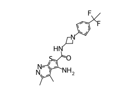 Cc1nnc2sc(C(=O)NC3CN(c4ccc(C(C)(F)F)cc4)C3)c(N)c2c1C